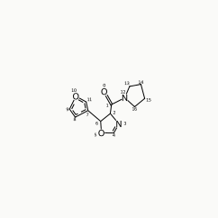 O=C(C1N=COC1c1ccoc1)N1CCCC1